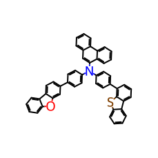 c1ccc2c(c1)cc(N(c1ccc(-c3ccc4c(c3)oc3ccccc34)cc1)c1ccc(-c3cccc4c3sc3ccccc34)cc1)c1ccccc12